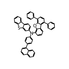 c1ccc(-c2ccc(-c3ccccc3)c3c2oc2c(N(c4ccc(-c5cccc6ccccc56)cc4)c4ccc5c(c4)sc4ccccc45)cccc23)cc1